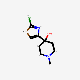 CN1CCC(O)(c2csc(Br)n2)CC1